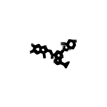 CN1C(CNc2cc(NC[C@H]3CCNC[C@@H]3O)nc3c(C4CC4)cnn23)=NC2C=C(F)C(F)=CC21